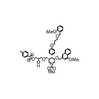 COc1ccccc1COCCCOc1ccc([C@H]2[C@H](COC[C@H](O)COS(=O)(=O)c3ccc(C)cc3)CN(C(=O)OC(C)(C)C)C[C@@H]2OCc2cc(OC)c3ccccc3c2)cc1